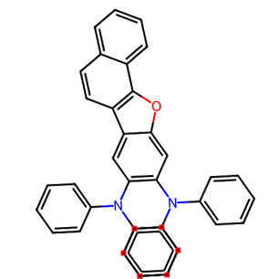 c1ccc(N(c2ccccc2)c2cc3oc4c5ccccc5ccc4c3cc2N(c2ccccc2)c2ccccc2)cc1